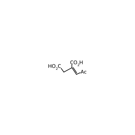 CC(=O)/C=C(/CC(=O)O)C(=O)O